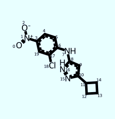 O=[N+]([O-])c1ccc(Nc2cc(C3CCC3)n[nH]2)c(Cl)c1